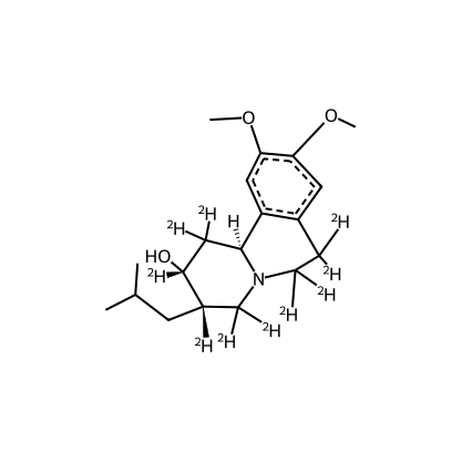 [2H]C1([2H])c2cc(OC)c(OC)cc2[C@H]2N(C1([2H])[2H])C([2H])([2H])[C@]([2H])(CC(C)C)[C@]([2H])(O)C2([2H])[2H]